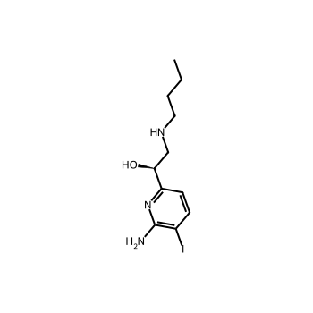 CCCCNC[C@H](O)c1ccc(I)c(N)n1